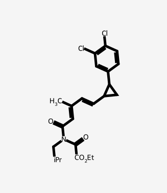 CCOC(=O)C(=O)N(CC(C)C)C(=O)C=C(C)C=CC1CC1c1ccc(Cl)c(Cl)c1